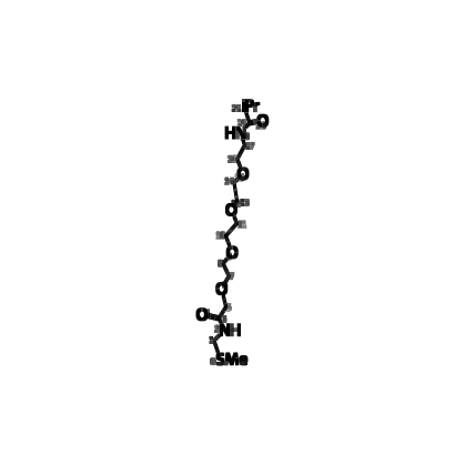 CSCNC(=O)COCCOCCOCCOCCNC(=O)C(C)C